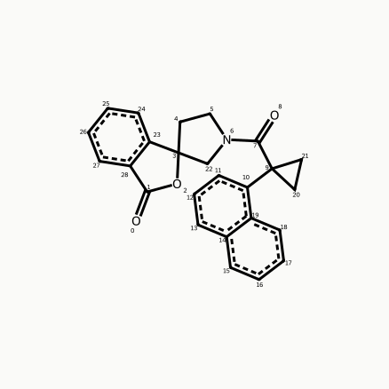 O=C1OC2(CCN(C(=O)C3(c4cccc5ccccc45)CC3)C2)c2ccccc21